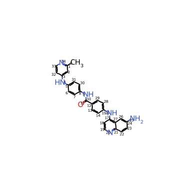 Cc1cc(Nc2ccc(NC(=O)c3ccc(Nc4ccnc5ccc(N)cc45)cc3)cc2)ccn1